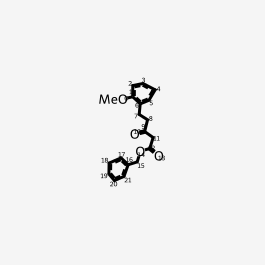 COc1ccccc1CCC(=O)CC(=O)OCc1ccccc1